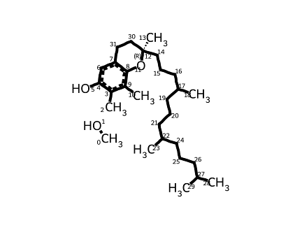 CO.Cc1c(O)cc2c(c1C)O[C@](C)(CCCC(C)CCCC(C)CCCC(C)C)CC2